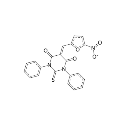 O=C1C(=Cc2ccc([N+](=O)[O-])o2)C(=O)N(c2ccccc2)C(=S)N1c1ccccc1